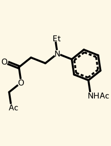 CCN(CCC(=O)OCC(C)=O)c1cccc(NC(C)=O)c1